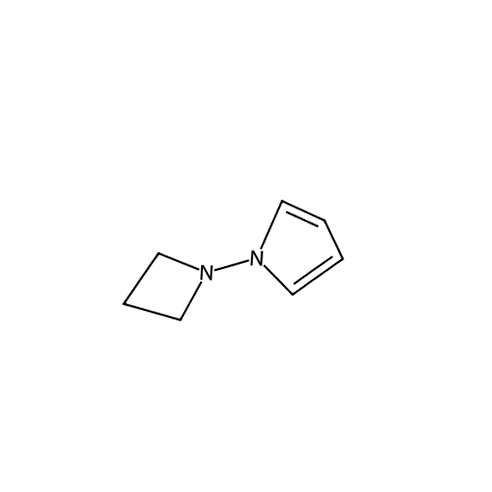 c1ccn(N2CCC2)c1